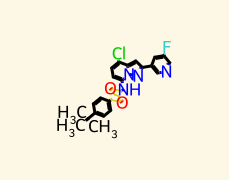 CC(C)(C)c1ccc(S(=O)(=O)Nc2ccc(Cl)c3cc(-c4cncc(F)c4)nn23)cc1